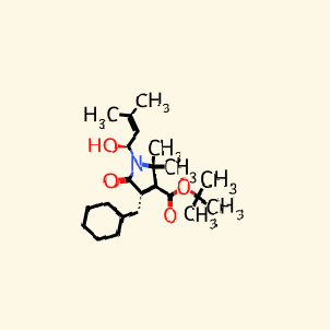 CC(C)=C[C@H](O)N1C(=O)[C@@H](CC2CCCCC2)C(C(=O)OC(C)(C)C)C1(C)C